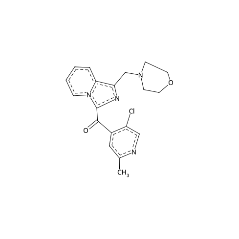 Cc1cc(C(=O)c2nc(CN3CCOCC3)c3ccccn23)c(Cl)cn1